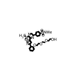 CNS(=O)(=O)c1ccc(-c2cnc(N(C)C)c(-c3cc(-c4ccccc4OCCOCCOCCO)no3)n2)cc1